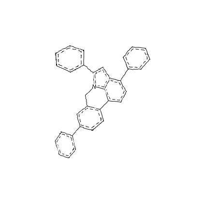 c1ccc(-c2ccc3c(c2)Cn2c(-c4ccccc4)cc4c(-c5ccccc5)ccc-3c42)cc1